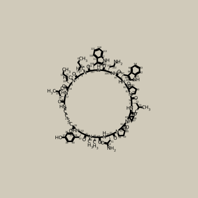 CCCC[C@H]1C(=O)N(C)[C@@H](CCCC)C(=O)N[C@@H](CC(C)C)C(=O)NCCSCC(=O)N[C@@H](Cc2ccc(O)cc2)C(=O)N(C)[C@@H](C)C(=O)N[C@@H](CC(N)=O)C(=O)N2CCC[C@H]2C(=O)NC2(CC2)C(=O)N[C@@H](CC(C)C)C(=O)N2CCC[C@H]2C(=O)N[C@@H](Cc2c[nH]c3ccccc23)C(=O)N[C@@H](CCN)C(=O)N[C@@H](Cc2c[nH]c3ccccc23)C(=O)N1C